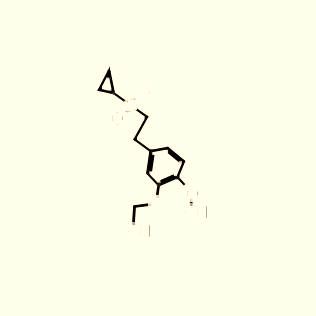 CCOc1cc(CCS(=O)(=O)C2CC2)ccc1OC